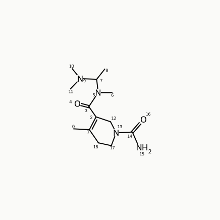 CC1=C(C(=O)N(C)C(C)N(C)C)CN(C(N)=O)CC1